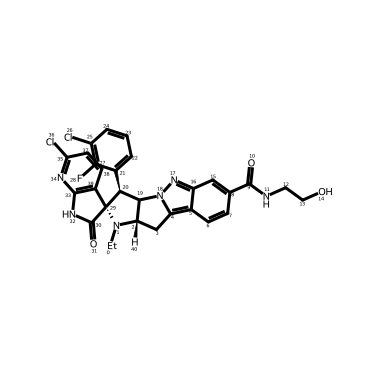 CCN1[C@H]2Cc3c4ccc(C(=O)NCCO)cc4nn3C2[C@H](c2cccc(Cl)c2F)[C@]12C(=O)Nc1nc(Cl)ccc12